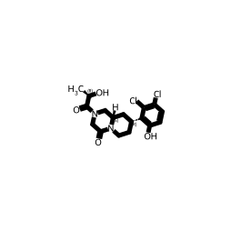 C[C@@H](O)C(=O)N1CC(=O)N2CC[C@@H](c3c(O)ccc(Cl)c3Cl)C[C@H]2C1